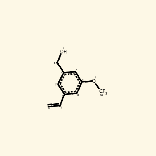 C=Cc1cc(CO)cc(OC(F)(F)F)c1